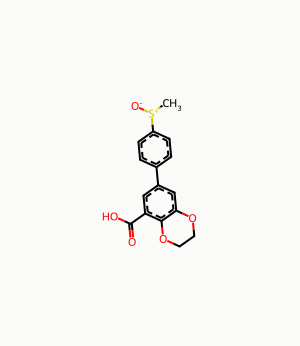 C[S+]([O-])c1ccc(-c2cc3c(c(C(=O)O)c2)OCCO3)cc1